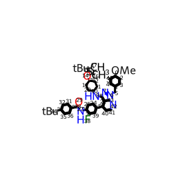 COc1ccc(Cn2nc(NC3CCC(O[Si](C)(C)C(C)(C)C)CC3)c3c(-c4ccc(NC(=O)c5ccc(C(C)(C)C)cc5)c(F)c4)ccnc32)cc1